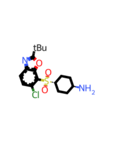 CC(C)(C)c1nc2ccc(Cl)c(S(=O)(=O)[C@H]3CC[C@H](N)CC3)c2o1